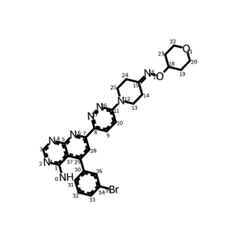 Nc1ncnc2nc(-c3ccc(N4CCC(=NOC5CCOCC5)CC4)nn3)cc(-c3cccc(Br)c3)c12